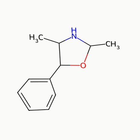 CC1NC(C)C(c2ccccc2)O1